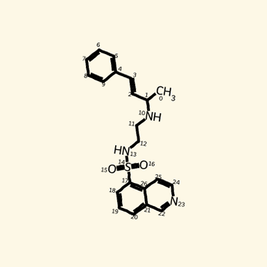 CC(C=Cc1ccccc1)NCCNS(=O)(=O)c1cccc2cnccc12